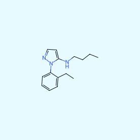 CCCCNc1ccnn1-c1ccccc1CC